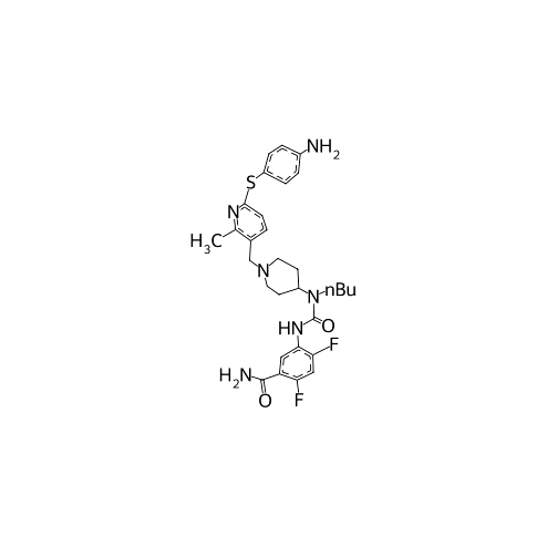 CCCCN(C(=O)Nc1cc(C(N)=O)c(F)cc1F)C1CCN(Cc2ccc(Sc3ccc(N)cc3)nc2C)CC1